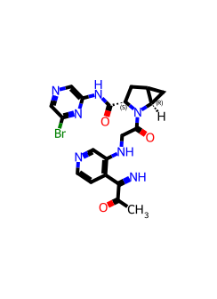 CC(=O)C(=N)c1ccncc1NCC(=O)N1[C@@H]2CC2C[C@H]1C(=O)Nc1cncc(Br)n1